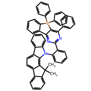 CC1(C)c2ccccc2-c2ccc3c4ccccc4n(-c4ccccc4-c4nc(-c5ccccc5)c5c(n4)-c4ccccc4S5(c4ccccc4)c4ccccc4)c3c21